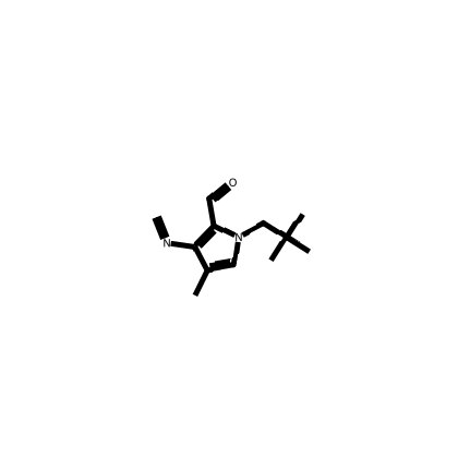 C=Nc1c(C)cn(CC(C)(C)C)c1C=O